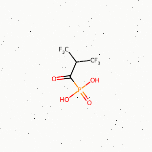 O=C(C(C(F)(F)F)C(F)(F)F)P(=O)(O)O